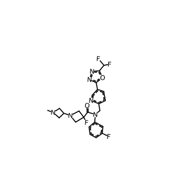 CN1CC(N2CC(F)(C(=O)N(Cc3ccc(-c4nnc(C(F)F)o4)cn3)c3cccc(F)c3)C2)C1